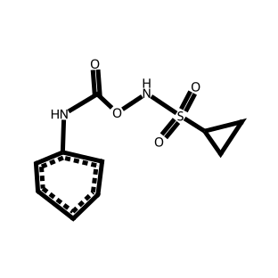 O=C(Nc1ccccc1)ONS(=O)(=O)C1CC1